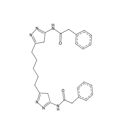 O=C(Cc1ccccc1)NC1=NN=C(CCCCCC2=NN=C(NC(=O)Cc3ccccc3)C2)C1